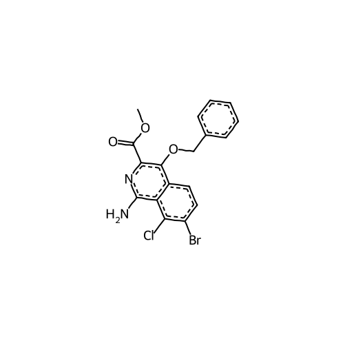 COC(=O)c1nc(N)c2c(Cl)c(Br)ccc2c1OCc1ccccc1